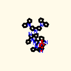 c1ccc(-c2ccccc2-c2c(-c3ccc(-n4c5ccc(-n6c7ccccc7c7ccccc76)cc5c5cc(-n6c7ccccc7c7ccccc76)ccc54)cc3)c(-n3c4ccccc4c4cnccc43)nc(-n3c4ccccc4c4cnccc43)c2-n2c3ccccc3c3cnccc32)cc1